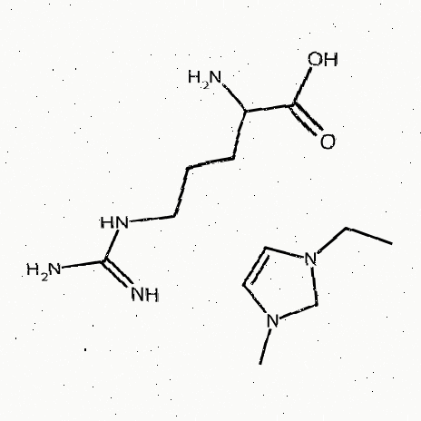 CCN1C=CN(C)C1.N=C(N)NCCCC(N)C(=O)O